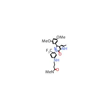 CNC(=O)CCCNc1ccc(C(F)(F)F)c(-n2nc(-c3cc(OC)cc(OC)c3)c3cc(C)[nH]c3c2=O)c1